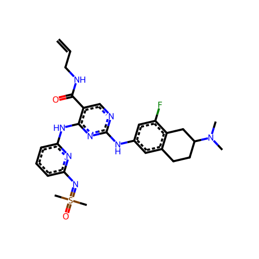 C=CCNC(=O)c1cnc(Nc2cc(F)c3c(c2)CCC(N(C)C)C3)nc1Nc1cccc(N=S(C)(C)=O)n1